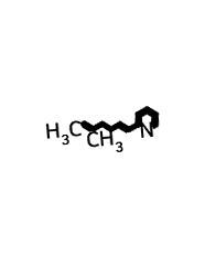 C/C=C(\C)CCC=Cc1ccccn1